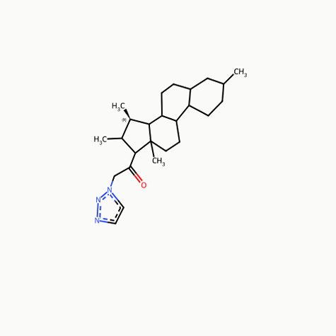 CC1CCC2C(CCC3C2CCC2(C)C(C(=O)Cn4ccnn4)C(C)[C@@H](C)C32)C1